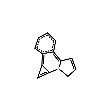 C1=CC2=c3ccccc3=C3C=C3N2C1